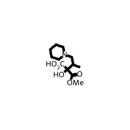 COC(=O)C(O)(C(=O)O)C(C)CN1CCCCC1